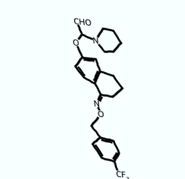 O=CC(Oc1ccc2c(c1)CCCC2=NOCc1ccc(C(F)(F)F)cc1)N1CCCCC1